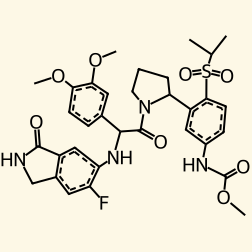 COC(=O)Nc1ccc(S(=O)(=O)C(C)C)c(C2CCCN2C(=O)C(Nc2cc3c(cc2F)CNC3=O)c2ccc(OC)c(OC)c2)c1